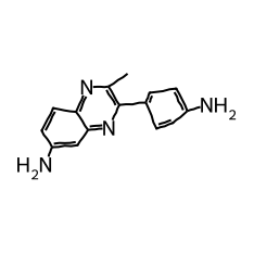 Cc1nc2ccc(N)cc2nc1-c1ccc(N)cc1